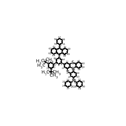 CC(C)(C)c1cc(-c2cc(-c3cc4c5c(c3)Sc3cc(N(c6ccccc6)c6ccccc6)ccc3B5c3ccccc3S4)cc(-c3c4ccccc4c(-c4ccccc4)c4ccccc34)c2)cc(C(C)(C)C)c1